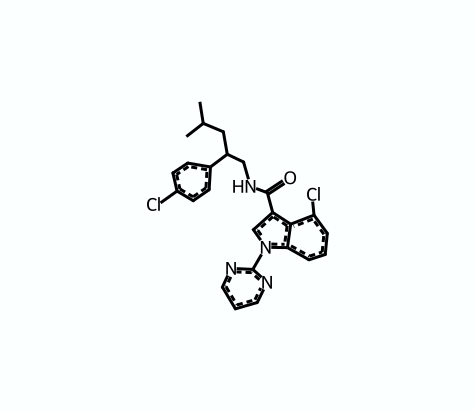 CC(C)CC(CNC(=O)c1cn(-c2ncccn2)c2cccc(Cl)c12)c1ccc(Cl)cc1